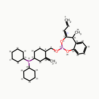 C=C/C=C1/OP(OCC2CCC(P(C3CCCCC3)C3CCCCC3)CC2=C)Oc2ccccc2C1C